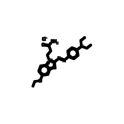 CCOc1ccc2c(c1)sc(N=Nc1ccc(N(CC)CC)cc1)[n+]2CCC(N)=O.[Cl-]